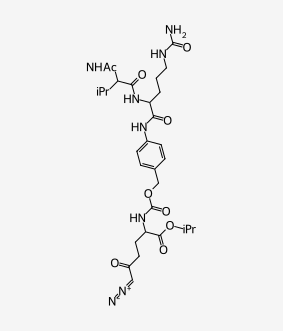 CC(=O)NC(C(=O)NC(CCCNC(N)=O)C(=O)Nc1ccc(COC(=O)NC(CCC(=O)C=[N+]=[N-])C(=O)OC(C)C)cc1)C(C)C